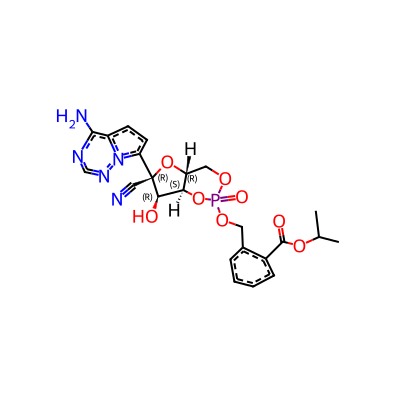 CC(C)OC(=O)c1ccccc1COP1(=O)OC[C@H]2O[C@@](C#N)(c3ccc4c(N)ncnn34)[C@H](O)[C@@H]2O1